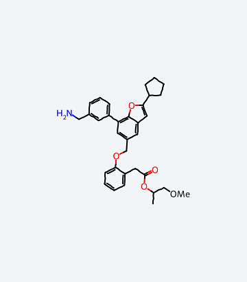 COCC(C)OC(=O)Cc1ccccc1OCc1cc(-c2cccc(CN)c2)c2oc(C3CCCC3)cc2c1